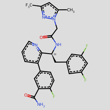 Cc1cc(C(F)(F)F)nn1CC(=O)N[C@@H](Cc1cc(F)cc(F)c1)c1ncccc1-c1ccc(F)c(C(N)=O)c1